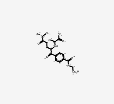 CC(C)C(NC(CCC(=O)[C@@H](N)C(C)C)C(=O)c1ccc(C(=O)NCC(=O)O)cc1)C(=O)C(F)(F)F